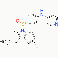 Cc1c(CC(=O)O)c2cc(F)ccc2n1[S+]([O-])c1ccc(Nc2ccncc2)cc1